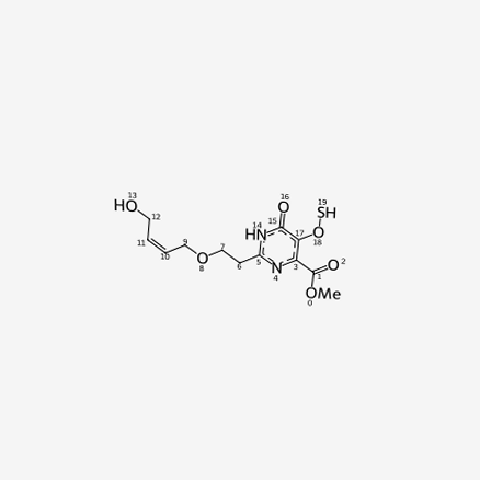 COC(=O)c1nc(CCOC/C=C\CO)[nH]c(=O)c1OS